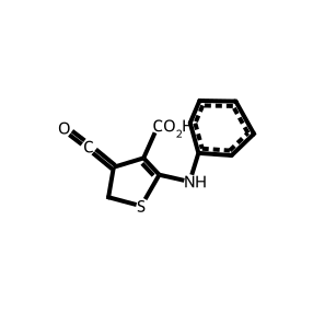 O=C=C1CSC(Nc2ccccc2)=C1C(=O)O